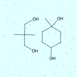 CC(C)(CO)CO.CC1(O)CCC(O)CC1